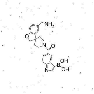 NCc1ccc2c(c1)C1(CCN(C(=O)C3=CCC4=NC=C(B(O)O)C4=C3)CC1)CO2